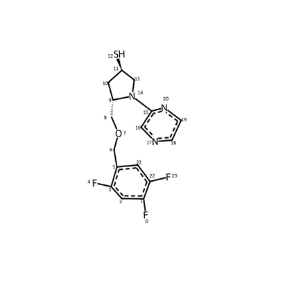 Fc1cc(F)c(COC[C@@H]2C[C@@H](S)CN2c2cnccn2)cc1F